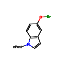 CCCCCn1ccc2cc(OBr)ccc21